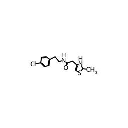 CC1NC(CC(=O)NCCc2ccc(Cl)cc2)=CS1